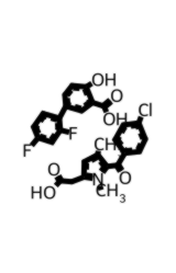 Cc1cc(CC(=O)O)n(C)c1C(=O)c1ccc(Cl)cc1.O=C(O)c1cc(-c2ccc(F)cc2F)ccc1O